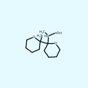 CCCCCCCC[SiH](C)C1(C2([SiH3])CCCCO2)CCCCO1